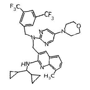 Cc1cccc2cc(CN(Cc3cc(C(F)(F)F)cc(C(F)(F)F)c3)c3ncc(N4CCOCC4)cn3)c(NC(C3CC3)C3CC3)nc12